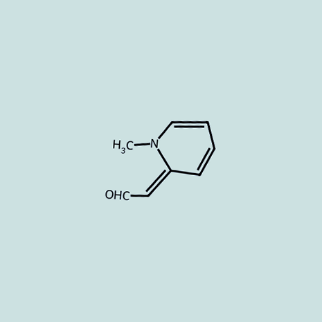 CN1C=CC=CC1=CC=O